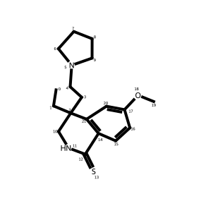 CCC1(CCN2CCCC2)CNC(=S)c2ccc(OC)cc21